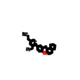 CC(C)Cc1cc(CCC#N)ccc1-c1ccc(O)c(Cc2cccc3ccccc23)c1